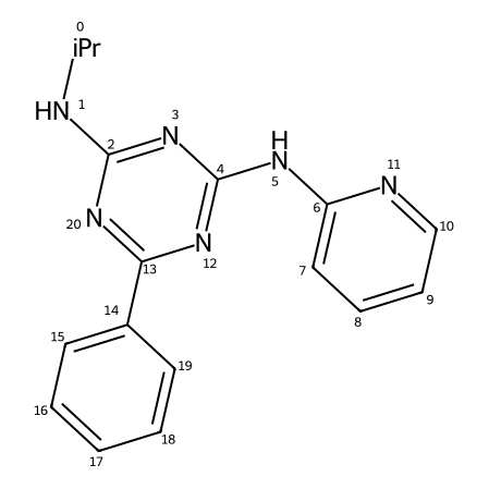 CC(C)Nc1nc(Nc2ccccn2)nc(-c2ccccc2)n1